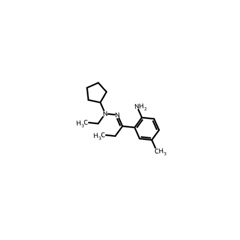 CC/C(=N\N(CC)C1CCCC1)c1cc(C)ccc1N